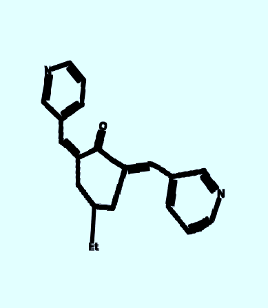 CCC1C/C(=C/c2cccnc2)C(=O)/C(=C/c2cccnc2)C1